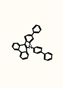 c1ccc(-c2ccc(-n3c4cc(-c5ccccc5)ccc4c4c5ccccc5c5ccccc5c43)cc2)cc1